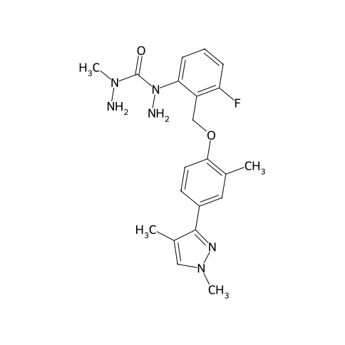 Cc1cc(-c2nn(C)cc2C)ccc1OCc1c(F)cccc1N(N)C(=O)N(C)N